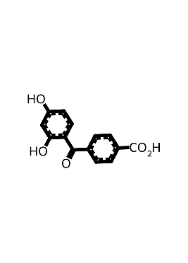 O=C(O)c1ccc(C(=O)c2ccc(O)cc2O)cc1